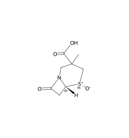 CC1(C(=O)O)CN2C(=O)C[C@H]2[S@@+]([O-])C1